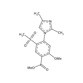 COC(=O)c1cc(S(C)(=O)=O)c(-n2cc(C)nc2C)cc1OC